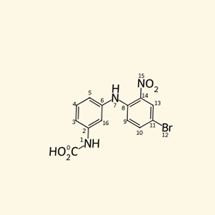 O=C(O)Nc1cccc(Nc2ccc(Br)cc2[N+](=O)[O-])c1